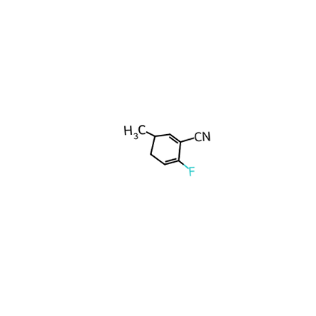 CC1C=C(C#N)C(F)=CC1